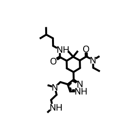 CCN(C)C(=O)C1CC(c2n[nH]cc2CN(C)CCNC)CC(C(=O)NCCC(C)C)C1(C)C